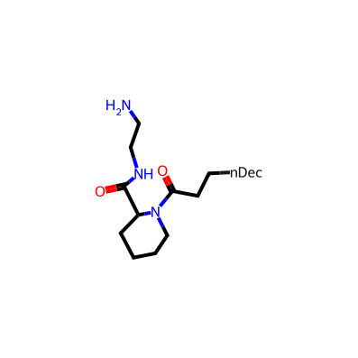 CCCCCCCCCCCCC(=O)N1CCCCC1C(=O)NCCN